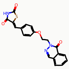 O=C1NC(=O)/C(=C/c2ccc(OCCn3ncc4ccccc4c3=O)cc2)S1